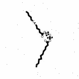 CCCCCCCCCCCC(=O)[O][Sn]([CH3])([CH3])[O][Sn]([CH3])([CH3])[O]C(=O)CCCCCCCCCCC